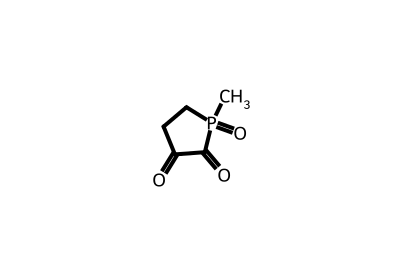 CP1(=O)CCC(=O)C1=O